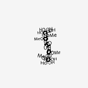 COc1cc([C@@H]2OC[C@@H]3[C@H]2CO[C@H]3c2cc(OC)c(O[C@@H]3O[C@H](CO)[C@@H](O)[C@H](O)[C@H]3O)c(OC)c2)cc(OC)c1O[C@@H]1O[C@H](CO)[C@@H](O)[C@H](O)[C@H]1O